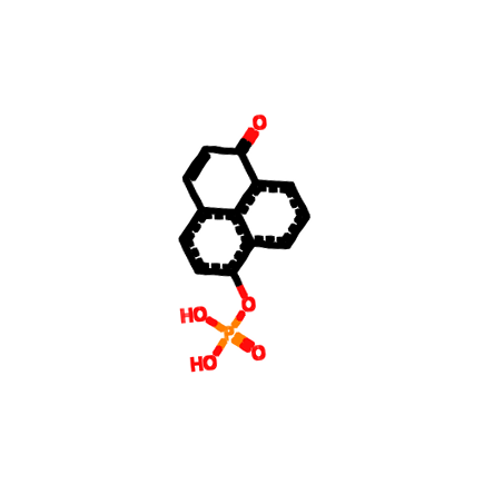 O=C1C=Cc2ccc(OP(=O)(O)O)c3cccc1c23